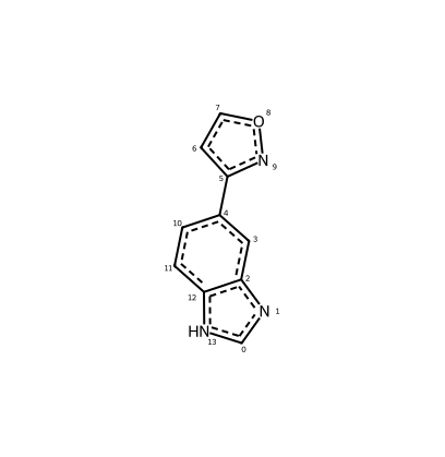 c1nc2cc(-c3ccon3)ccc2[nH]1